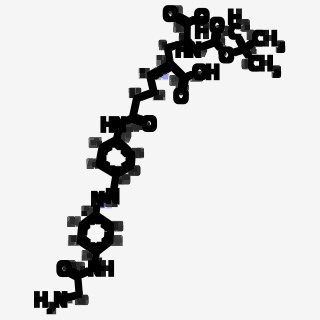 CC(C)(C)OC(=O)N[C@@H](C/C(=C/CCC(=O)Nc1ccc(/N=N/c2ccc(NC(=O)CN)cc2)cc1)C(=O)O)C(=O)O